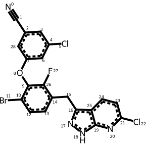 N#Cc1cc(Cl)cc(Oc2c(Br)ccc(Cc3n[nH]c4nc(Cl)ccc34)c2F)c1